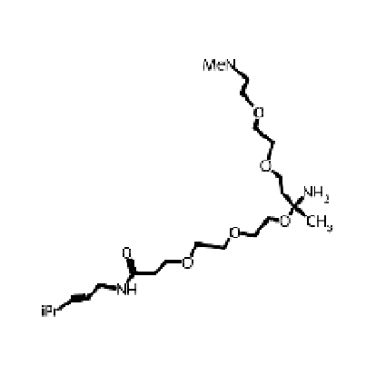 CNCCOCCOCCC(C)(N)OCCOCCOCCC(=O)NC/C=C/C(C)C